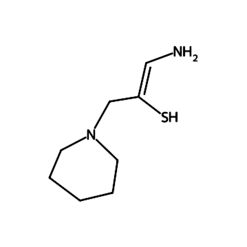 N/C=C(\S)CN1CCCCC1